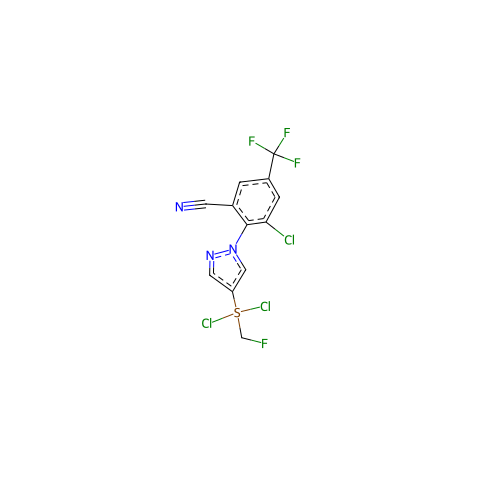 N#Cc1cc(C(F)(F)F)cc(Cl)c1-n1cc(S(Cl)(Cl)CF)cn1